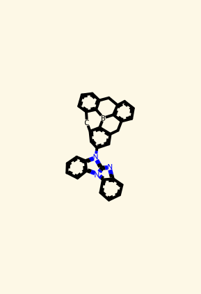 c1cc2c3c(c1)Cc1cc(-n4c5ccccc5n5c6ccccc6nc45)cc4c1B3c1c(cccc1C4)C2